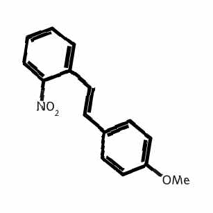 COc1ccc(C=Cc2ccccc2[N+](=O)[O-])cc1